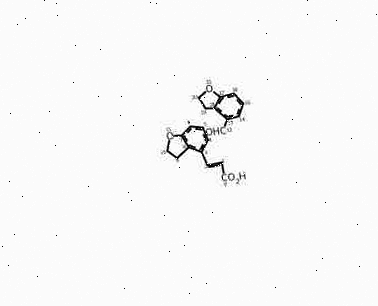 O=C(O)C=Cc1cccc2c1CCO2.O=Cc1cccc2c1CCO2